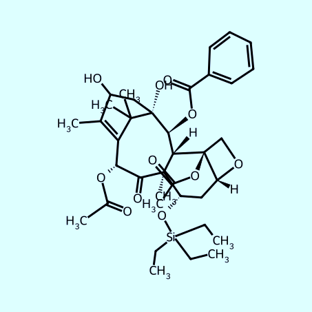 CC[Si](CC)(CC)O[C@H]1C[C@H]2OC[C@@]2(OC(C)=O)[C@H]2[C@H](OC(=O)c3ccccc3)[C@]3(O)CC(O)C(C)=C([C@@H](OC(C)=O)C(=O)[C@]12C)C3(C)C